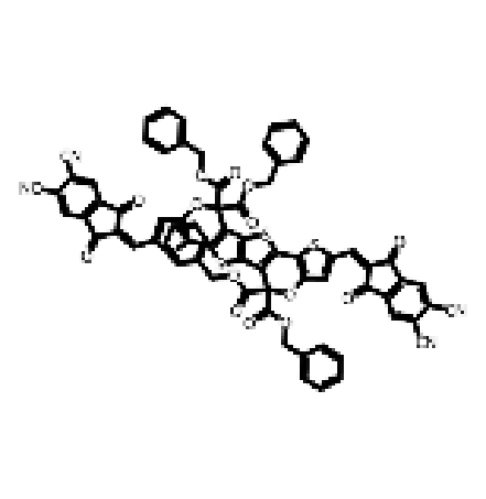 N#Cc1cc2c(cc1C#N)C(=O)C(=Cc1cc3c(s1)-c1sc4c5c(sc4c1C(C(=O)OCc1ccccc1)(C(=O)OCc1ccccc1)O3)-c1sc(C=C3C(=O)c4cc(C#N)c(C#N)cc4C3=O)cc1OC5(C(=O)OCc1ccccc1)C(=O)OCc1ccccc1)C2=O